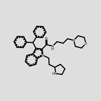 O=C(NCCCN1CCOCC1)c1c(C(c2ccccc2)c2ccccc2)c2ccccc2n1CCC1CCCN1